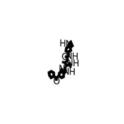 Cc1[nH]c(C(=O)Nc2ccc3[nH]ccc3c2)c(C)c1-c1nc2cc(C(=O)c3ccccc3)ccc2[nH]1